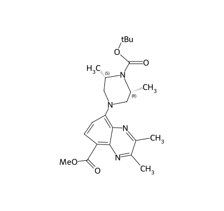 COC(=O)c1ccc(N2C[C@@H](C)N(C(=O)OC(C)(C)C)[C@@H](C)C2)c2nc(C)c(C)nc12